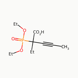 CC#CC(CC)(C(=O)O)P(=O)(OCC)OCC